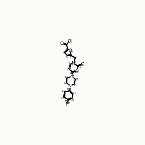 O=C(O)c1ccc(Cn2cnc(N3CCN(c4ccc(F)cc4)CC3)nc2=O)o1